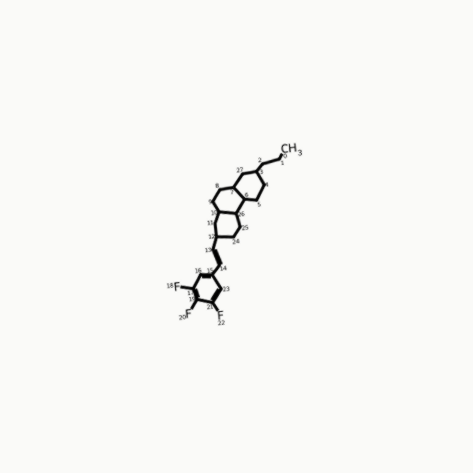 CCCC1CCC2C(CCC3CC(/C=C/c4cc(F)c(F)c(F)c4)CCC32)C1